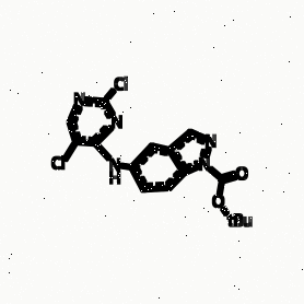 CC(C)(C)OC(=O)n1ncc2cc(Nc3nc(Cl)ncc3Cl)ccc21